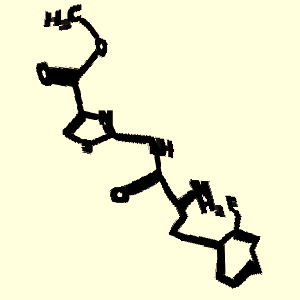 COC(=O)c1csc(NC(=O)C(N)Cc2ccccc2F)n1